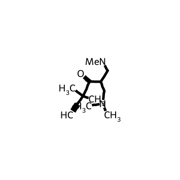 C#CC(C)(C)C(=O)C(CNC)CN(C)C